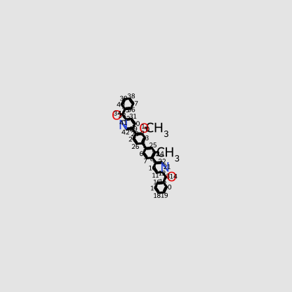 COc1cc(-c2ccc(-c3ccc(C(=O)c4ccccc4)nc3)c(C)c2)ccc1-c1ccc(C(=O)c2ccccc2)nc1